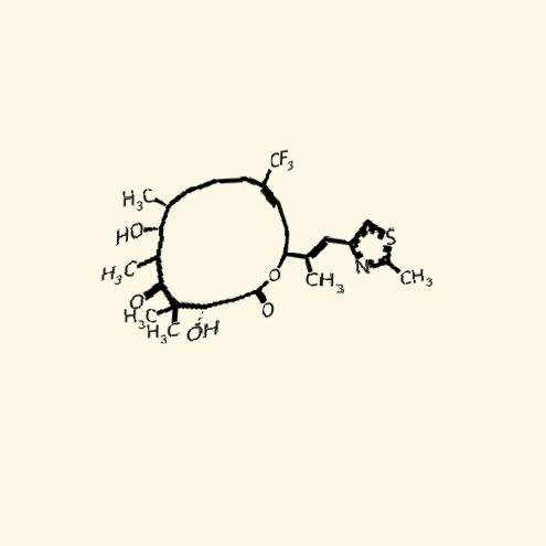 C/C(=C\c1csc(C)n1)C1C/C=C(/C(F)(F)F)CCC[C@H](C)[C@H](O)C(C)C(=O)C(C)(C)[C@@H](O)CC(=O)O1